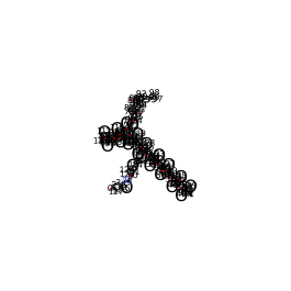 Cc1ccc(C(=O)/C=C/c2ccc(OCCCOc3cc(N4C(=O)C5C6C(=O)N(c7ccc(N8C(=O)C9C%10C(=O)N(C)C(=O)C%10C9C8=O)cc7)C(=O)C6C5C4=O)ccc3N3C(=O)C4C5C(=O)N(c6cc(C(=O)OC7CC[C@@]8(C)C(CCC9C8CC[C@@]8(C)C9CC[C@@H]8C(C)CCCC(C)C)C7)cc(N7C(=O)C8C9C(=O)N(C)C(=O)C9C8C7=O)c6)C(=O)C5C4C3=O)cc2)cc1